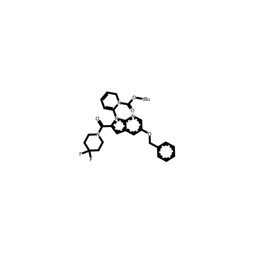 CC(C)(C)OC(=O)N1CC=CC=C1n1c(C(=O)N2CCC(F)(F)CC2)cc2cc(OCc3ccccc3)cnc21